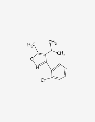 Cc1onc(-c2ccccc2Cl)c1C(C)C